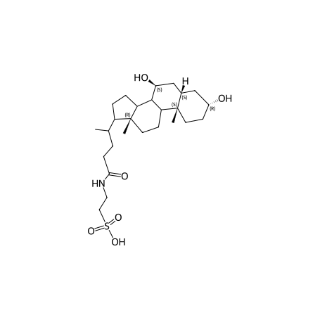 CC(CCC(=O)NCCS(=O)(=O)O)C1CCC2C3C(CC[C@]12C)[C@@]1(C)CC[C@@H](O)C[C@H]1C[C@@H]3O